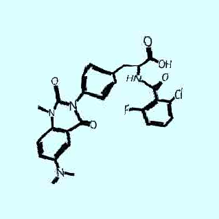 CN(C)c1ccc2c(c1)c(=O)n(-c1ccc(C[C@H](NC(=O)c3c(F)cccc3Cl)C(=O)O)cc1)c(=O)n2C